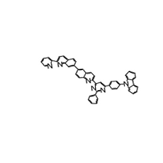 c1ccc(-c2nc(-c3ccc(-n4c5ccccc5c5ccccc54)cc3)cc(-c3ccc4cc(-c5ccc6ccc(-c7ccccn7)nc6c5)ccc4n3)n2)cc1